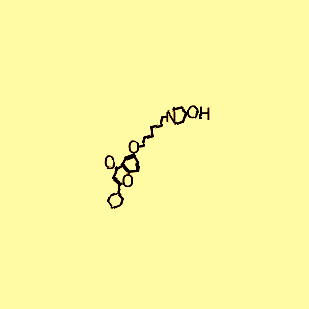 O=c1cc(C2CCCCC2)oc2ccc(OCCCCCCN3CCC(O)CC3)cc12